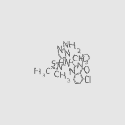 Cc1nc(-c2cnc(N)nc2NC(C)c2nc3cccc(Cl)c3c(=O)n2-c2ccccc2)sc1C